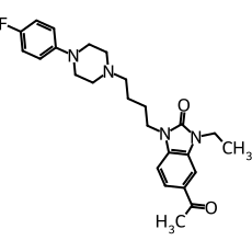 CCn1c(=O)n(CCCCN2CCN(c3ccc(F)cc3)CC2)c2ccc(C(C)=O)cc21